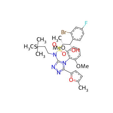 COc1cccc(OC)c1-n1c(-c2ccc(C)o2)nnc1N(CC[Si](C)(C)C)S(=O)(=O)[C@H](C)[C@@H](O)c1ccc(F)cc1Br